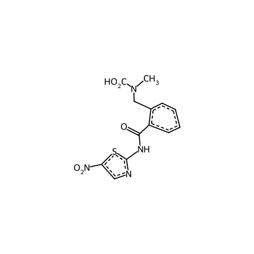 CN(Cc1ccccc1C(=O)Nc1ncc([N+](=O)[O-])s1)C(=O)O